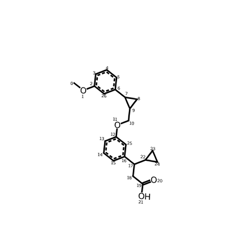 COc1cccc(C2CC2COc2cccc(C(CC(=O)O)C3CC3)c2)c1